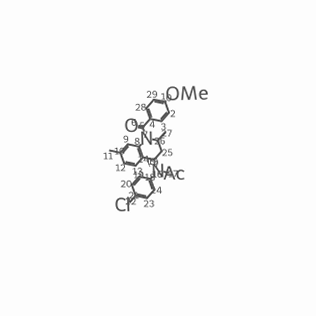 COc1ccc(C(=O)N2c3cc(C)ccc3[C@@H](N(C(C)=O)c3ccc(Cl)cc3)CC2C)cc1